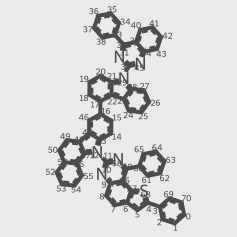 c1ccc(-c2cc3ccc4nc(-n5c6ccc(-c7cccc8c7c7ccccc7n8-c7nc(-c8ccccc8)c8ccccc8n7)cc6c6ccc7ccccc7c65)nc(-c5ccccc5)c4c3s2)cc1